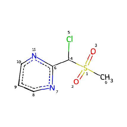 CS(=O)(=O)C(Cl)c1ncccn1